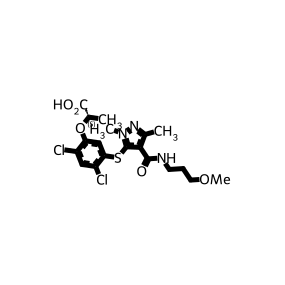 COCCCNC(=O)c1c(C)nn(C)c1Sc1cc(O[C@@H](C)C(=O)O)c(Cl)cc1Cl